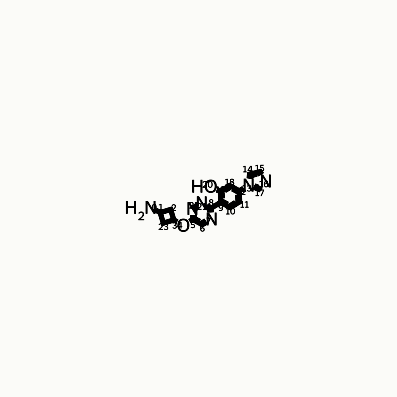 NC1CC(Oc2cnc(-c3ccc(-n4ccnc4)cc3O)nn2)C1